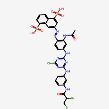 CC(=O)Nc1cc(Nc2nc(Cl)nc(Nc3cccc(NC(=O)C(Br)CBr)c3)n2)ccc1N=Nc1cc(S(=O)(=O)O)c2cccc(S(=O)(=O)O)c2c1